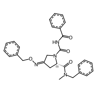 CN(Cc1ccccc1)C(=O)[C@@H]1CC(=NOCc2ccccc2)CN1C(=O)NC(=O)c1ccccc1